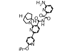 CC(C)Oc1ccc(-c2ccc(C(=O)NS(=O)(=O)c3cccc(N)n3)c(N3CC[C@H]4CC[C@H]3C4)n2)cn1